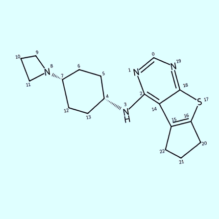 c1nc(N[C@H]2CC[C@@H](N3CCC3)CC2)c2c3c(sc2n1)CCC3